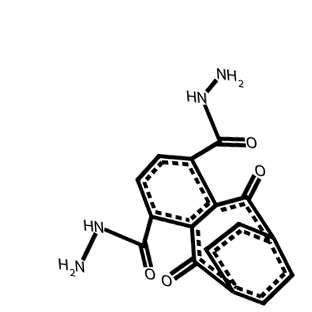 NNC(=O)c1ccc(C(=O)NN)c2c(=O)c3ccc(cc3)c(=O)c12